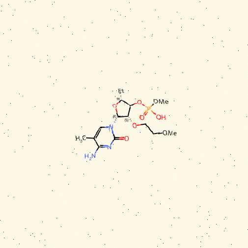 CC[C@H]1O[C@@H](n2cc(C)c(N)nc2=O)[C@@H](OCCOC)C1OP(=O)(O)OC